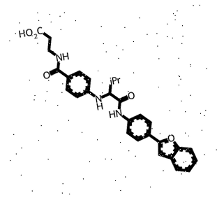 CC(C)C(Nc1ccc(C(=O)NCCC(=O)O)cc1)C(=O)Nc1ccc(-c2cc3ccccc3o2)cc1